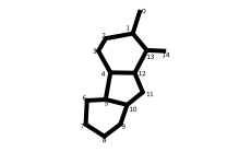 CC1CCC2C3CCCCC3CC2C1C